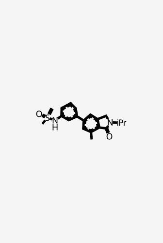 C=S(C)(=O)Nc1cccc(-c2cc(C)c3c(c2)CN(C(C)C)C3=O)c1